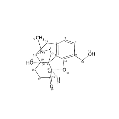 CN1CCC23c4c5ccc(CO)c4O[C@H]2C(=O)CC[C@@]3(O)C1C5